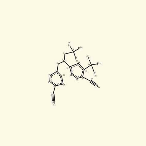 N#Cc1ccc(CN(CC(F)(F)F)c2ccc(C#N)c(C(F)(F)F)c2)cc1